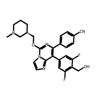 CN1CCC[C@@H](COc2nc(-c3ccc(C#N)cc3)c(-c3cc(F)c(CO)c(F)c3)c3nccn23)C1